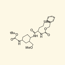 COCC1CC(NC(=O)OC(C)(C)C)CCC1NC(=O)C(CCSC)NC(=O)OCc1ccccc1